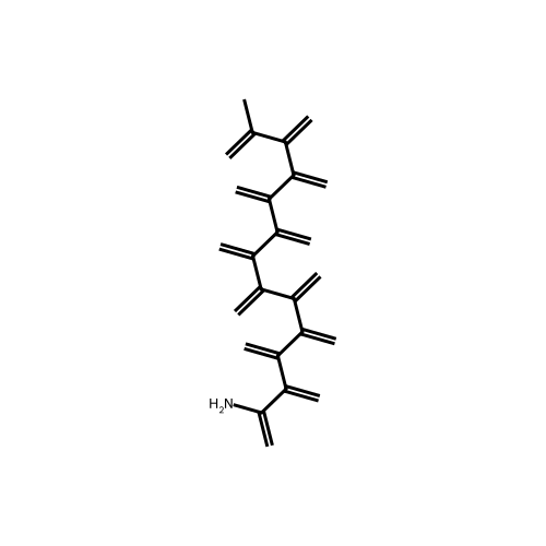 C=C(C)C(=C)C(=C)C(=C)C(=C)C(=C)C(=C)C(=C)C(=C)C(=C)C(=C)C(=C)N